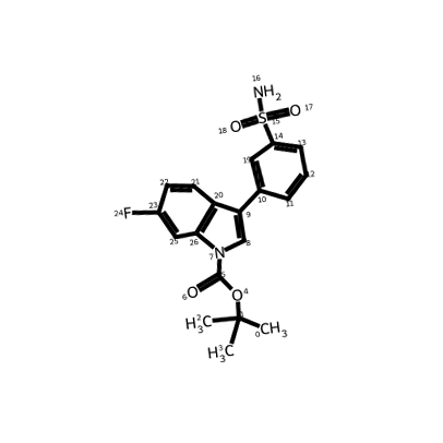 CC(C)(C)OC(=O)n1cc(-c2cccc(S(N)(=O)=O)c2)c2ccc(F)cc21